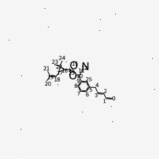 C=CC=CCc1cccc(C(C#N)OC(=O)C2C(C=C(C)C)C2(C)C)c1